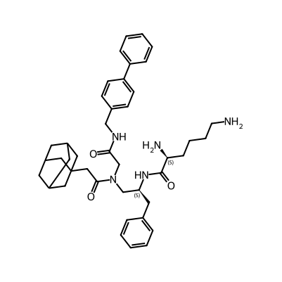 NCCCC[C@H](N)C(=O)N[C@@H](Cc1ccccc1)CN(CC(=O)NCc1ccc(-c2ccccc2)cc1)C(=O)CC12CC3CC(CC(C3)C1)C2